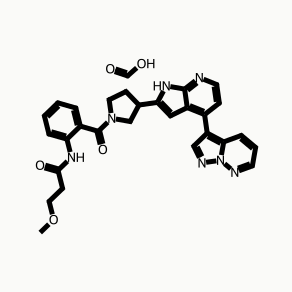 COCCC(=O)Nc1ccccc1C(=O)N1CCC(c2cc3c(-c4cnn5ncccc45)ccnc3[nH]2)C1.O=CO